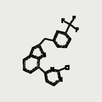 FC(F)(F)c1cccc(Cc2cc3cccc(-c4ccnc(Cl)n4)c3s2)c1